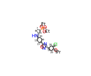 CCOP(=O)(OCC)[C@@H]1CC[C@@H](Nc2ccc(-c3nc(-c4ccc(OC(C)C)c(Cl)c4)no3)cc2)C1